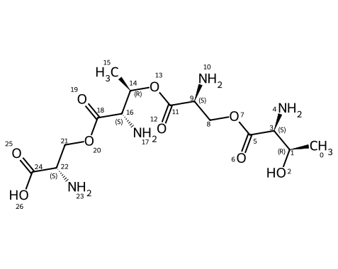 C[C@@H](O)[C@H](N)C(=O)OC[C@H](N)C(=O)O[C@H](C)[C@H](N)C(=O)OC[C@H](N)C(=O)O